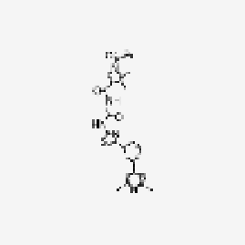 Cc1cc(-c2cccc(-c3csc(NC(=O)CNC(=O)c4cn([S+]([O-])C(C)C)c(C)c4C)n3)c2)nc(C)n1